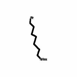 [CH2]CCCCCCCCCCCCC(C)C